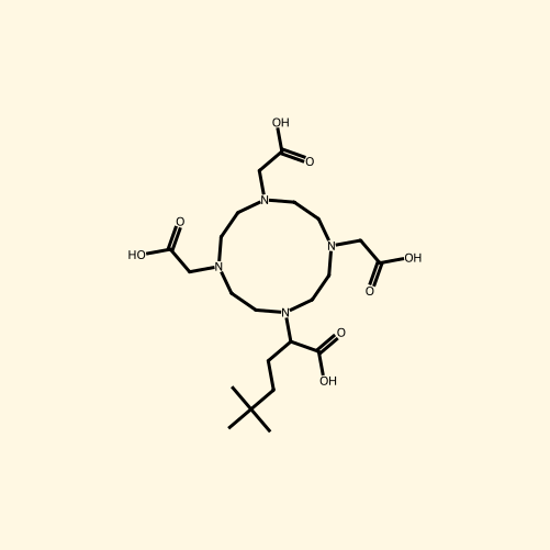 CC(C)(C)CCC(C(=O)O)N1CCN(CC(=O)O)CCN(CC(=O)O)CCN(CC(=O)O)CC1